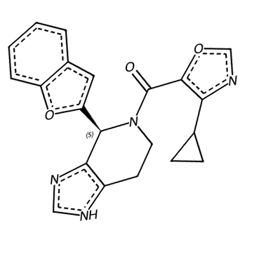 O=C(c1ocnc1C1CC1)N1CCc2[nH]cnc2[C@H]1c1cc2ccccc2o1